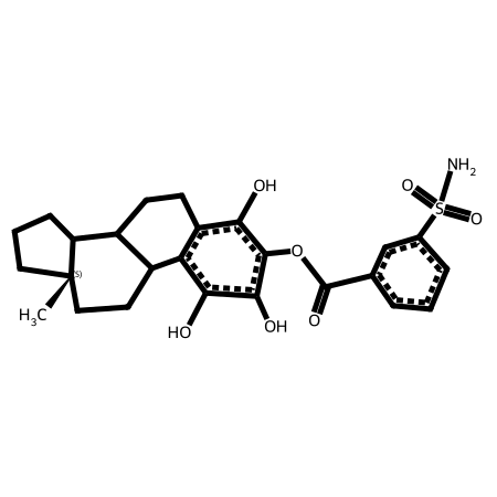 C[C@@]12CCCC1C1CCc3c(O)c(OC(=O)c4cccc(S(N)(=O)=O)c4)c(O)c(O)c3C1CC2